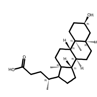 C[C@H](CCC(=O)O)C1CC[C@H]2[C@@H]3CC[C@@H]4C[C@H](O)CC[C@]4(C)[C@H]3CC[C@]12C